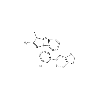 CN1C(=O)C(c2ccccc2)(c2cccc(-c3ccc4c(c3)OCC4)c2)N=C1N.Cl